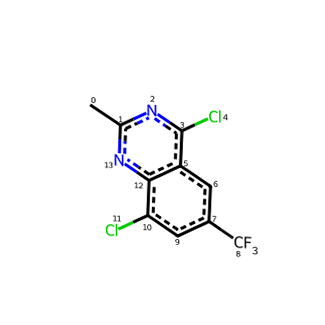 Cc1nc(Cl)c2cc(C(F)(F)F)cc(Cl)c2n1